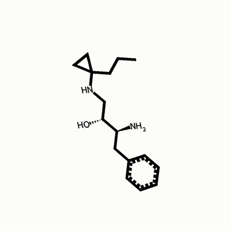 CCCC1(NC[C@@H](O)[C@@H](N)Cc2ccccc2)CC1